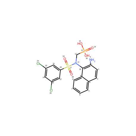 Nc1ccc2ccccc2c1N(CP(=O)(O)O)S(=O)(=O)c1cc(Cl)cc(Cl)c1